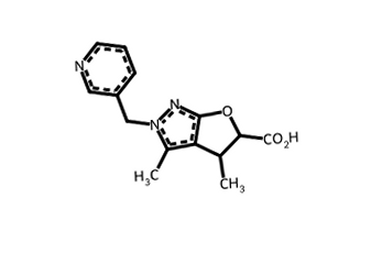 Cc1c2c(nn1Cc1cccnc1)OC(C(=O)O)C2C